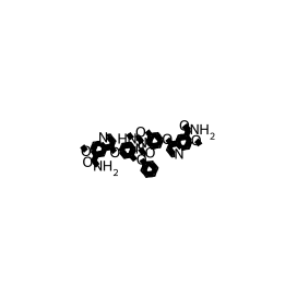 CNC(=O)N(c1ccc(Oc2ccnc3cc(OC)c(C(N)=O)cc23)cc1C)N(C(=O)Oc1ccccc1)c1ccc(Oc2ccnc3cc(OC)c(C(N)=O)cc23)cc1C